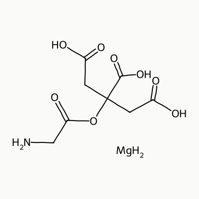 NCC(=O)OC(CC(=O)O)(CC(=O)O)C(=O)O.[MgH2]